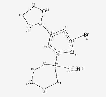 N#CC1(c2cc(Br)cc(C3OCCO3)c2)CCOCC1